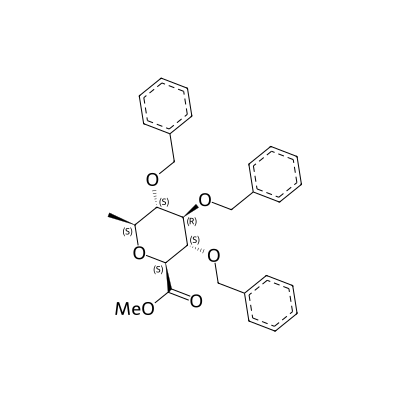 COC(=O)[C@H]1O[C@@H](C)[C@H](OCc2ccccc2)[C@@H](OCc2ccccc2)[C@@H]1OCc1ccccc1